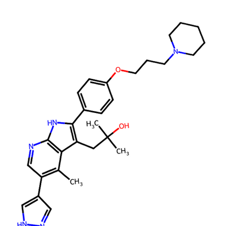 Cc1c(-c2cn[nH]c2)cnc2[nH]c(-c3ccc(OCCCN4CCCCC4)cc3)c(CC(C)(C)O)c12